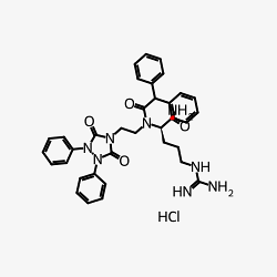 Cl.N=C(N)NCCC[C@H](C(N)=O)N(CCn1c(=O)n(-c2ccccc2)n(-c2ccccc2)c1=O)C(=O)C(c1ccccc1)c1ccccc1